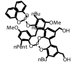 CCCCCc1cc(OC)cc(Cc2cc(OC)cc(CCCC)c2OP(Oc2ccccc2)Oc2ccccc2)c1Op1oc2c(CCCC)cc(CO)cc2c2cc(CO)cc(CCCC)c2o1